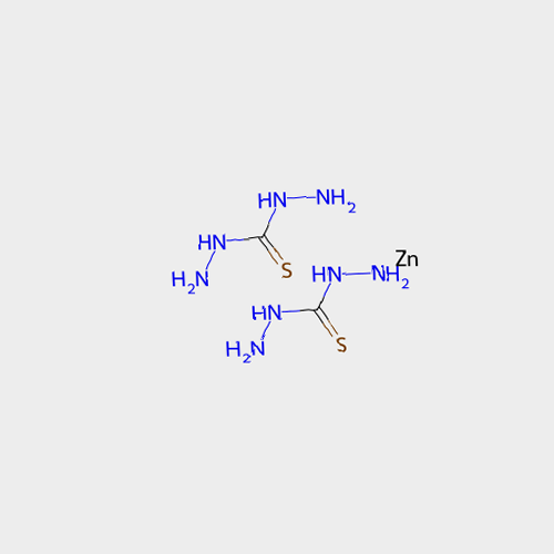 NNC(=S)NN.NNC(=S)NN.[Zn]